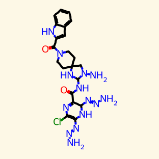 NN=NC1=C(Cl)N=C(C(=O)NC2NC3(CCN(C(=O)c4cc5ccccc5[nH]4)CC3)CN2N)C(N=NN)N1